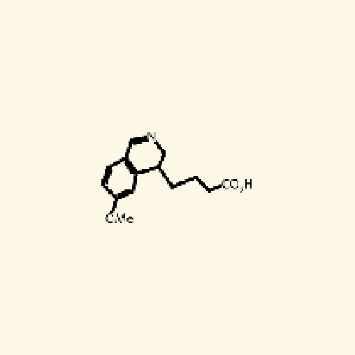 COc1ccc2c(c1)C(CCCC(=O)O)CN=C2